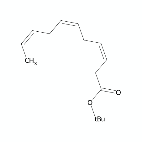 C/C=C\C/C=C\C/C=C\CC(=O)OC(C)(C)C